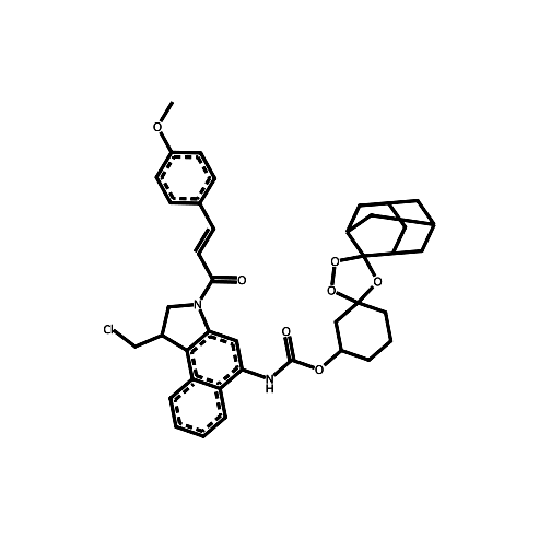 COc1ccc(/C=C/C(=O)N2CC(CCl)c3c2cc(NC(=O)OC2CCCC4(C2)OOC2(O4)C4CC5CC(C4)CC2C5)c2ccccc32)cc1